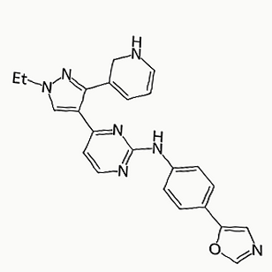 CCn1cc(-c2ccnc(Nc3ccc(-c4cnco4)cc3)n2)c(C2=CC=CNC2)n1